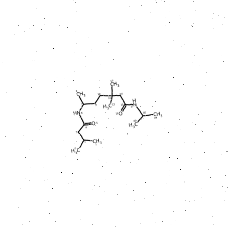 CC(C)CC(=O)NC(C)CCC(C)(C)CC(=O)NC(C)C